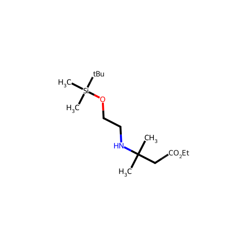 CCOC(=O)CC(C)(C)NCCO[Si](C)(C)C(C)(C)C